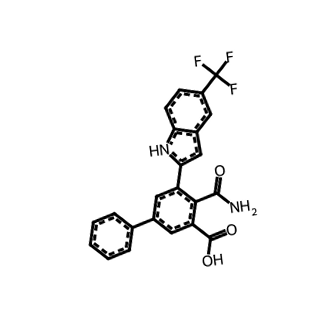 NC(=O)c1c(C(=O)O)cc(-c2ccccc2)cc1-c1cc2cc(C(F)(F)F)ccc2[nH]1